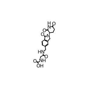 O=C(O)NCC(=O)NCc1ccc2c(c1)CN(C1CCC(=O)NC1=O)C2=O